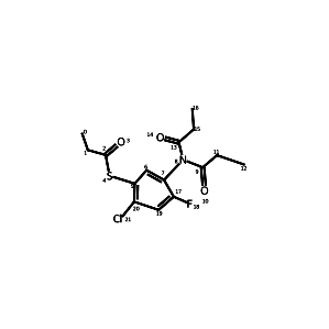 CCC(=O)Sc1cc(N(C(=O)CC)C(=O)CC)c(F)cc1Cl